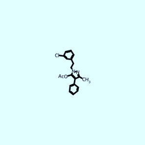 CC(=O)Oc1c(-c2ccccc2)c(C)nn1CCc1cccc(Cl)c1